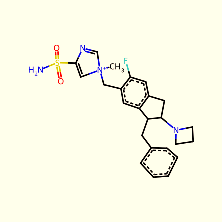 C[N+]1(Cc2cc3c(cc2F)CC(N2CCC2)C3Cc2ccccc2)C=NC(S(N)(=O)=O)=C1